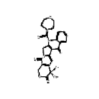 CC[C@@]1(O)C(=O)OCc2c1cc1n(c2=O)Cc2c-1c(=O)c1ccccc1n2C(=O)N1CCOCC1